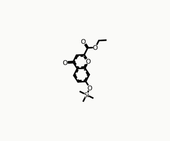 CCOC(=O)c1cc(=O)c2ccc(O[Si](C)(C)C)cc2o1